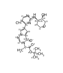 CC(C(=O)OC(C)(C)C)N1C=Nn2cc(-c3nc(N[C@@H]4CCOC[C@@H]4O)ncc3Cl)cc2[S+]1[O-]